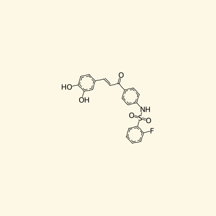 O=C(/C=C/c1ccc(O)c(O)c1)c1ccc(NS(=O)(=O)c2ccccc2F)cc1